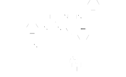 CN(CC1Cc2ccccc2CN1)C(Cc1ccc(Cl)cc1)C(=O)N1CCN(c2ccccc2CN2CCCC2)CC1.Cl.Cl.Cl.Cl